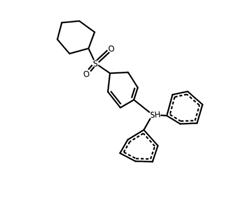 O=S(=O)(C1C=CC([SH](c2ccccc2)c2ccccc2)=CC1)C1CCCCC1